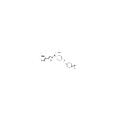 COc1cc(-c2cc(C(=O)N3CC[C@H](C(=O)NC4CCC(O)(C(F)(F)F)CC4)C[C@H]3C(F)(F)F)n[nH]2)c(F)cn1